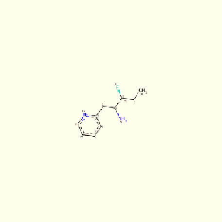 CC[C@H](F)C(N)Cc1ccccn1